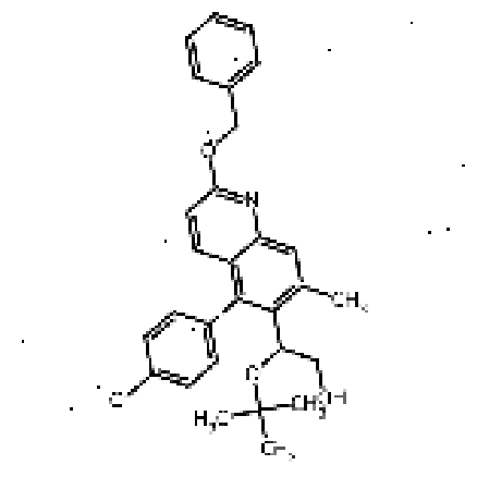 Cc1cc2nc(OCc3ccccc3)ccc2c(-c2ccc(Cl)cc2)c1C(CO)OC(C)(C)C